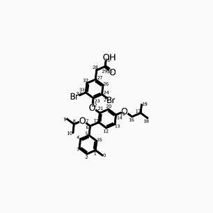 Cc1cccc(C(OC(C)C)c2ccc(OCC(C)C)cc2Oc2c(Br)cc(CC(=O)O)cc2Br)c1